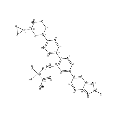 Cn1nc2cc(-c3cnc(-c4cnc(N5CCN[C@@H](C6CC6)C5)nn4)c(O)c3)cnc2n1.O=C(O)C(F)(F)F